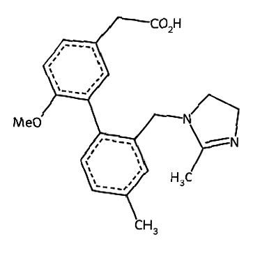 COc1ccc(CC(=O)O)cc1-c1ccc(C)cc1CN1CCN=C1C